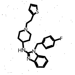 Fc1ccc(Cn2c(NC3CCN(CCc4cccs4)CC3)nc3ccccc32)cc1